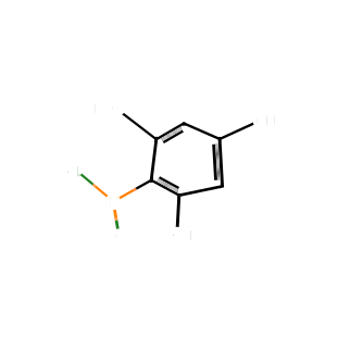 Cc1cc(C)c(P(Cl)Cl)c(C)c1